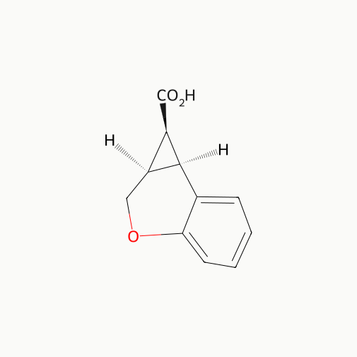 O=C(O)[C@@H]1[C@@H]2COc3ccccc3[C@@H]21